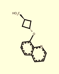 O=C(O)[C@H]1C[C@H](Oc2cccc3cccnc23)C1